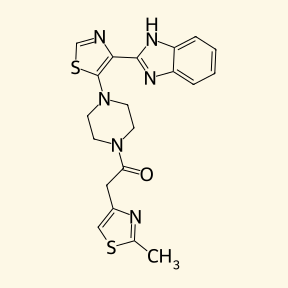 Cc1nc(CC(=O)N2CCN(c3scnc3-c3nc4ccccc4[nH]3)CC2)cs1